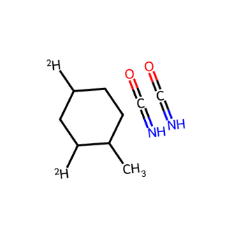 N=C=O.N=C=O.[2H]C1CCC(C)C([2H])C1